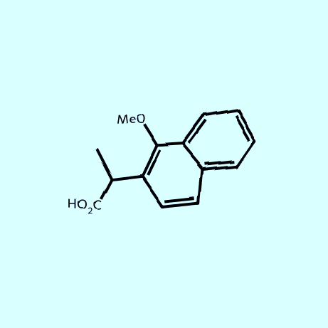 COc1c(C(C)C(=O)O)ccc2ccccc12